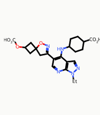 CCn1ncc2c(NC3CCC(C(=O)O)CC3)c(C3=NOC4(C3)CC(OC(=O)O)C4)cnc21